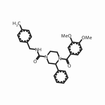 COc1ccc(C(=O)N2CCN(C(=O)NCc3ccc(C)cc3)CC2c2ccccc2)cc1OC